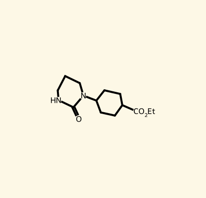 CCOC(=O)C1CCC(N2CCCNC2=O)CC1